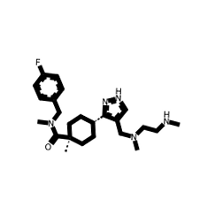 CNCCN(C)Cc1c[nH]nc1[C@H]1CC[C@](C)(C(=O)N(C)Cc2ccc(F)cc2)CC1